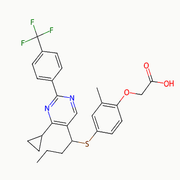 CCCC(Sc1ccc(OCC(=O)O)c(C)c1)c1cnc(-c2ccc(C(F)(F)F)cc2)nc1C1CC1